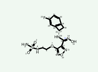 NS(=O)(=O)NCCOc1nonc1/C(=N\O)N[C@H]1Cc2ccc(F)cc21